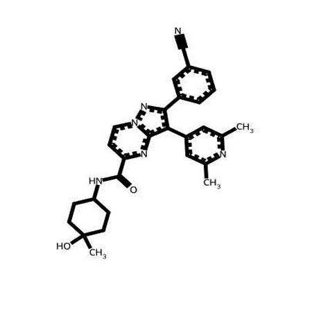 Cc1cc(-c2c(-c3cccc(C#N)c3)nn3ccc(C(=O)NC4CCC(C)(O)CC4)nc23)cc(C)n1